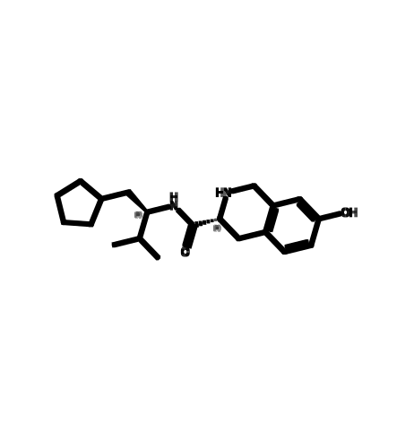 CC(C)[C@@H](CC1CCCC1)NC(=O)[C@H]1Cc2ccc(O)cc2CN1